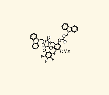 COc1ccc(CN(C(=O)OCC2c3ccccc3-c3ccccc32)[C@@H](C)C(=O)Oc2c(F)c(F)c(F)c(F)c2F)c(OC(=O)OCC2c3ccccc3-c3ccccc32)c1